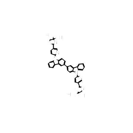 CC1(C)COC(c2ccc(-n3c4ccccc4c4cc(-c5ccc6c(c5)c5ccccc5n6-c5ccc(C6=NCC(C)(C)O6)cn5)ccc43)nc2)=N1